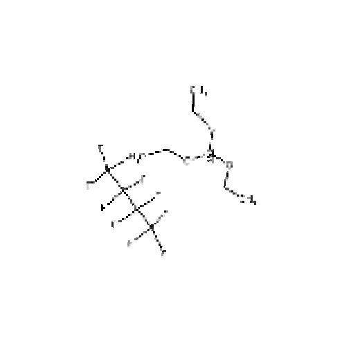 CCO[SiH](OCC)OCC.FC(F)(F)C(F)(F)C(F)(F)C(F)(F)F